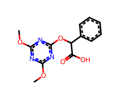 COc1nc(OC)nc(OC(C(=O)O)c2ccccc2)n1